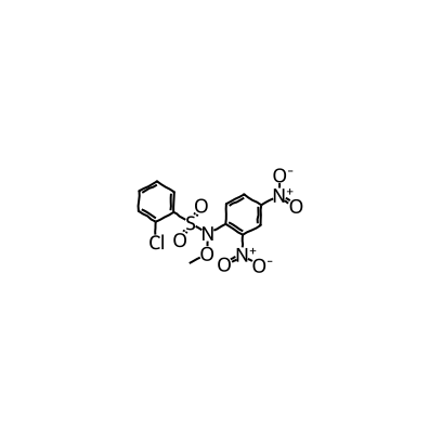 CON(c1ccc([N+](=O)[O-])cc1[N+](=O)[O-])S(=O)(=O)c1ccccc1Cl